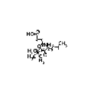 CCCCC(NC(=O)CCC(=O)O)C(=O)OC(C)(C)C